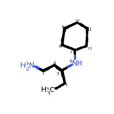 CCC(CCN)NC1CCCCC1